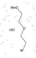 COCCOCCBr.Cl